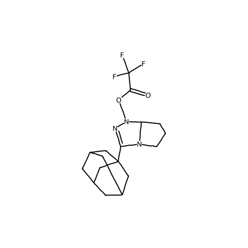 O=C(ON1N=C(C23CC4CC(CC(C4)C2)C3)N2CCCC12)C(F)(F)F